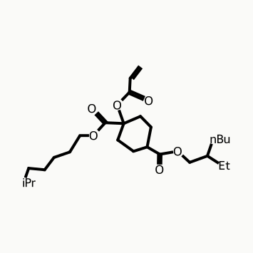 C=CC(=O)OC1(C(=O)OCCCCCC(C)C)CCC(C(=O)OCC(CC)CCCC)CC1